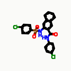 O=C(Nc1ccc(Cl)cc1)c1cc2ccccc2cc1NS(=O)(=O)c1ccc(Cl)cc1